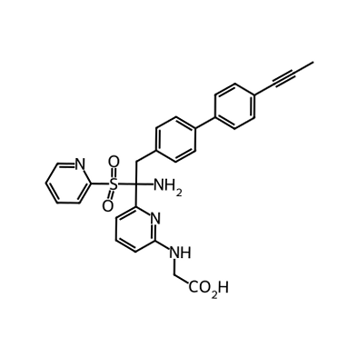 CC#Cc1ccc(-c2ccc(CC(N)(c3cccc(NCC(=O)O)n3)S(=O)(=O)c3ccccn3)cc2)cc1